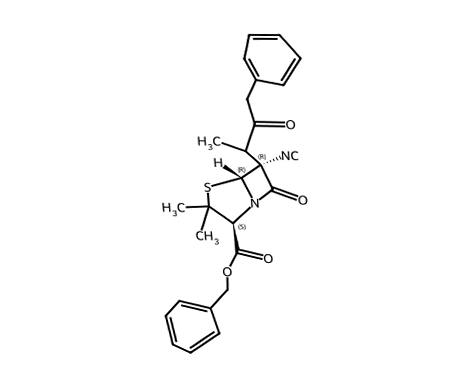 [C-]#[N+][C@]1(C(C)C(=O)Cc2ccccc2)C(=O)N2[C@@H](C(=O)OCc3ccccc3)C(C)(C)S[C@@H]21